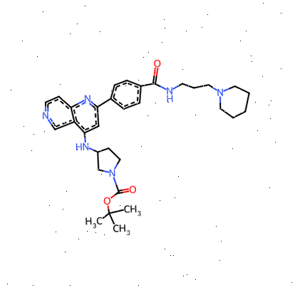 CC(C)(C)OC(=O)N1CCC(Nc2cc(-c3ccc(C(=O)NCCCN4CCCCC4)cc3)nc3ccncc23)C1